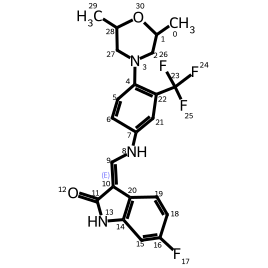 CC1CN(c2ccc(N/C=C3/C(=O)Nc4cc(F)ccc43)cc2C(F)(F)F)CC(C)O1